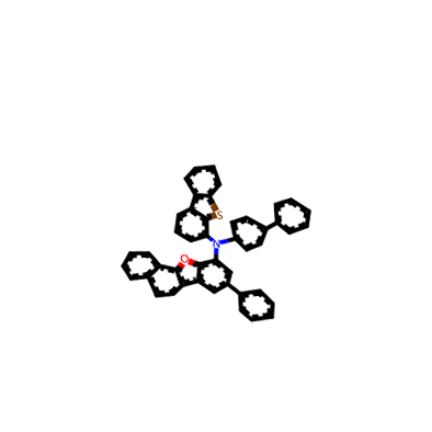 c1ccc(-c2ccc(N(c3cc(-c4ccccc4)cc4c3oc3c5ccccc5ccc43)c3cccc4c3sc3ccccc34)cc2)cc1